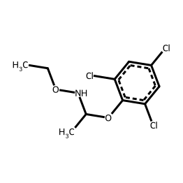 CCONC(C)Oc1c(Cl)cc(Cl)cc1Cl